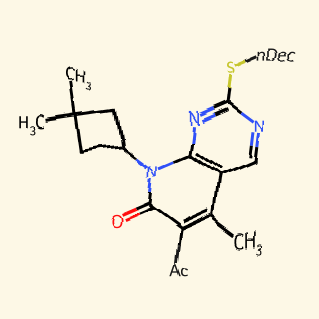 CCCCCCCCCCSc1ncc2c(C)c(C(C)=O)c(=O)n(C3CC(C)(C)C3)c2n1